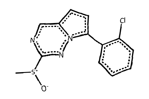 C[S+]([O-])c1ncc2ccc(-c3ccccc3Cl)n2n1